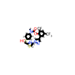 CN(C(=O)Oc1c(-c2cnn(-c3csc(CO)n3)c2)cc(C(F)(F)F)cc1C(F)(F)F)c1ccc(F)cc1